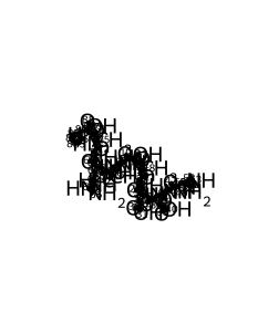 CC(C)[C@H](NC(=O)CNC(=O)[C@H](CO)NC(=O)[C@H](C)NC(=O)CNC(=O)[C@H](CCC(=O)O)NC(=O)[C@H](CCC(=O)O)NC(=O)CNC(=O)[C@@H](N)Cc1c[nH]cn1)C(=O)N[C@@H](CCCNC(=N)N)C(=O)NCC(=O)N[C@@H](C)C(=O)N[C@@H](Cc1ccccc1)C(=O)O